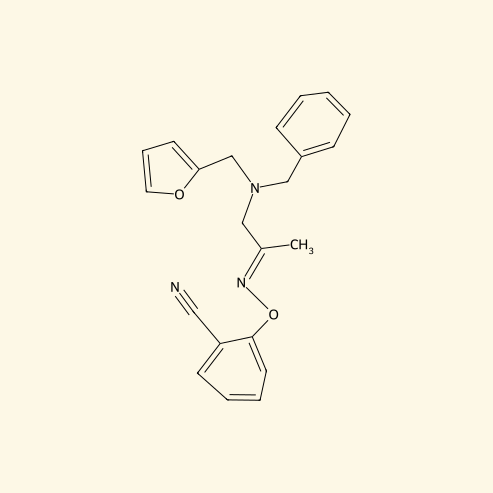 C/C(CN(Cc1ccccc1)Cc1ccco1)=N\Oc1ccccc1C#N